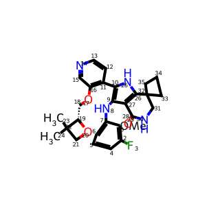 COc1c(F)cccc1Nc1c(-c2ccncc2OC[C@@H]2OCC2(C)C)[nH]c2c1C(=O)NCC21CCC1